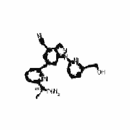 C[C@H](N)c1cccc(-c2cc(C#N)c3cnn(-c4cccc(CO)n4)c3c2)n1